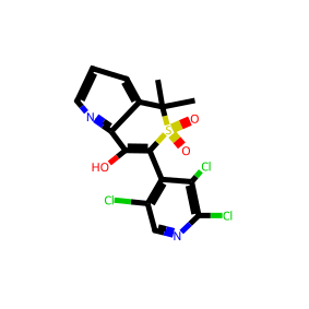 CC1(C)c2cccnc2C(O)=C(c2c(Cl)cnc(Cl)c2Cl)S1(=O)=O